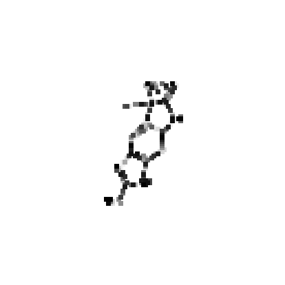 CCOC(=O)C1(C)C(=O)Nc2cc3[nH]c(SC)nc3cc21